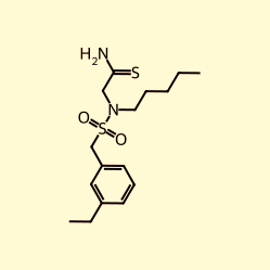 CCCCCN(CC(N)=S)S(=O)(=O)Cc1cccc(CC)c1